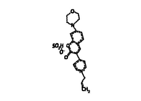 C=CC[n+]1ccc(-c2cc3ccc(N4CCOCC4)cc3oc2=O)cc1.O=S(=O)([O-])O